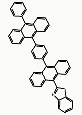 c1ccc(-c2c3ccccc3c(-c3ccc(-c4c5ccccc5c(-c5nc6ccccc6s5)c5ccccc45)cc3)c3ccccc23)cc1